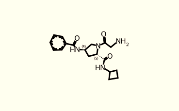 NCC(=O)N1C[C@H](NC(=O)c2ccccc2)C[C@H]1C(=O)NC1CCC1